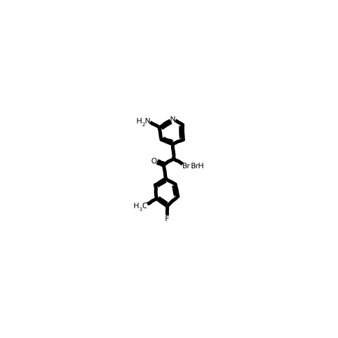 Br.Cc1cc(C(=O)C(Br)c2ccnc(N)c2)ccc1F